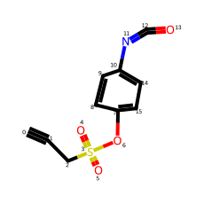 C#CCS(=O)(=O)Oc1ccc(N=C=O)cc1